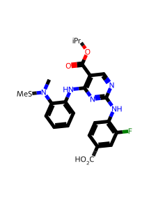 CSN(C)c1ccccc1Nc1nc(Nc2ccc(C(=O)O)cc2F)ncc1C(=O)OC(C)C